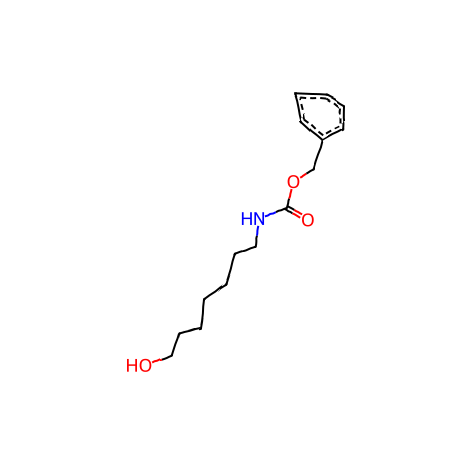 O=C(NCCCCCCCO)OCc1ccccc1